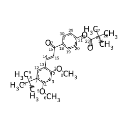 COc1cc(OC)c(C(C)(C)C)cc1C=CC(=O)c1ccc(OC(=O)C(C)(C)C)cc1